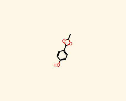 CC1OC(c2ccc(O)cc2)O1